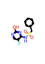 O=S(=O)(Cc1ccccc1)Nc1nc(O)ncc1F